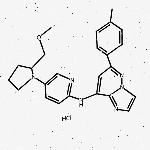 COCC1CCCN1c1ccc(Nc2cc(-c3ccc(C)cc3)nn3ccnc23)nc1.Cl